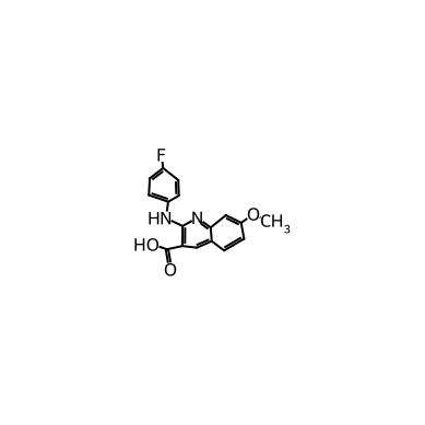 COc1ccc2cc(C(=O)O)c(Nc3ccc(F)cc3)nc2c1